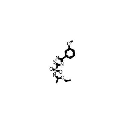 CCO/C(C)=N\S(=O)(=O)c1nc(-c2cccc(OC)c2)ns1